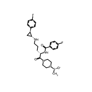 C[S+]([O-])N1CCN(C(=O)[C@H](CCCN[C@@H]2C[C@H]2c2ccc(F)cc2)NC(=O)c2ccc(F)cc2)CC1